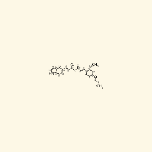 CCCOc1ccc(/C=C/C(=O)CC(=O)/C=C/c2ccc3[nH]ccc3c2)c(OC)c1